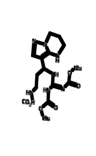 CC(C)(C)OC(=O)N=C(NC(=O)OC(C)(C)C)NC(CCNC(=O)O)c1cnn2c1NCCC2